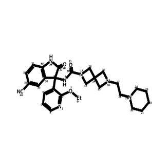 CCOc1ncccc1C1(NC(=O)N2CC3(CN(CCN4CCCCC4)C3)C2)C(=O)Nc2ccc(C#N)cc21